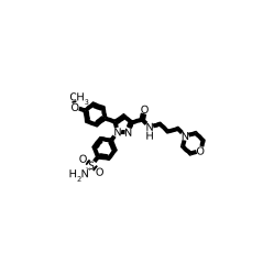 COc1ccc(-c2cc(C(=O)NCCCN3CCOCC3)nn2-c2ccc(S(N)(=O)=O)cc2)cc1